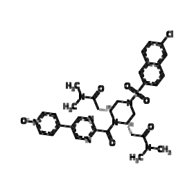 CN(C)C(=O)C[C@@H]1CN(S(=O)(=O)c2ccc3cc(Cl)ccc3c2)C[C@H](CC(=O)N(C)C)N1C(=O)c1ncc(-c2cc[n+]([O-])cc2)cn1